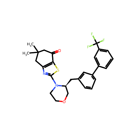 CC1(C)CC(=O)c2sc(N3CCOC[C@@H]3Cc3cccc(-c4cccc(C(F)(F)F)c4)c3)nc2C1